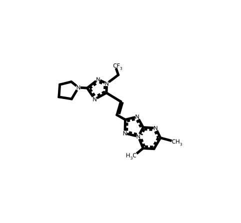 Cc1cc(C)n2nc(C=Cc3nc(N4CCCC4)nn3CC(F)(F)F)nc2n1